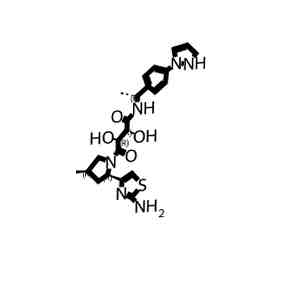 C[C@@H]1C[C@H](c2csc(N)n2)N(C(=O)[C@H](O)[C@@H](O)C(=O)N[C@H](C)c2ccc(N3C=CCN3)cc2)C1